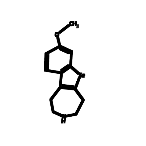 COc1ccc2c3c([se]c2c1)CCNCC3